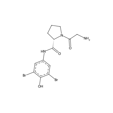 NCC(=O)N1CCC[C@H]1C(=O)Nc1cc(Br)c(O)c(Br)c1